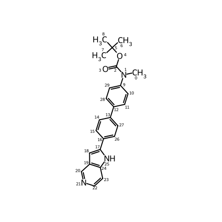 CN(C(=O)OC(C)(C)C)c1ccc(-c2ccc(-c3cc4cnccc4[nH]3)cc2)cc1